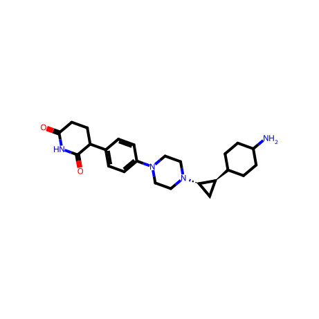 NC1CCC([C@H]2C[C@@H]2N2CCN(c3ccc(C4CCC(=O)NC4=O)cc3)CC2)CC1